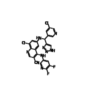 N#Cc1cnc2c(Cl)cc(NC(c3cncc(Cl)c3)c3c[nH]nn3)cc2c1Nc1cnc(F)c(F)c1